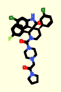 O=C(CN1CCN(C(=O)N2CC[C@@H](C3C=CC=C(Cl)C3)[C@]3(C(=O)Nc4cc(Cl)ccc43)[C@@H]2c2cccc(F)c2)CC1)N1CCCC1